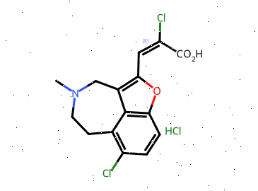 CN1CCc2c(Cl)ccc3oc(/C=C(/Cl)C(=O)O)c(c23)C1.Cl